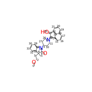 COCCC1(C)C(=O)N(C2CCN([C@H]3c4cccc5cccc(c45)C3O)CC2)c2ccccc21